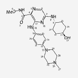 CONC(=O)c1ncc(N[C@H]2CC[C@H](O)CC2)nc1Nc1ccc(N2CCN(C)CC2)cc1